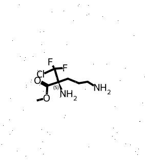 COC(=O)[C@@](N)(CCCN)C(F)(F)Cl